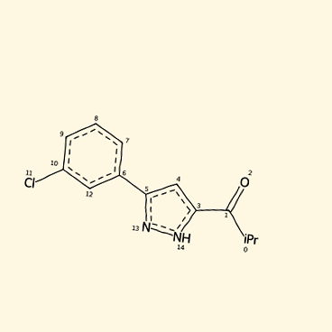 CC(C)C(=O)c1cc(-c2cccc(Cl)c2)n[nH]1